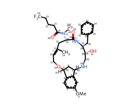 COc1ccc2c(c1)[C@@H]1C[C@H]2OC/C=C(\C)C[C@H](N(C)C(=O)CCCC(F)(F)F)C(=O)N[C@@H](Cc2ccccc2)[C@H](O)CN1